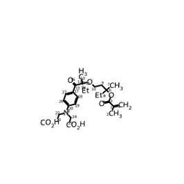 C=C(C)C(=O)OC(C)(CC)CCO[C@@](C)(CC)C(=O)c1ccc(N(CC(=O)O)CC(=O)O)cc1